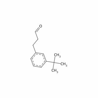 CC(C)(C)c1cccc(CCC=O)c1